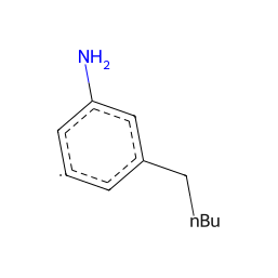 CCCCCc1c[c]cc(N)c1